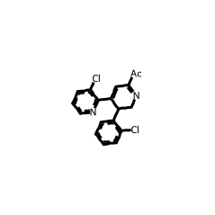 CC(=O)C1=NCC(c2ccccc2Cl)C(c2ncccc2Cl)=C1